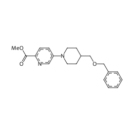 COC(=O)c1ccc(N2CCC(COCc3ccccc3)CC2)cn1